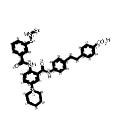 CCNSc1cccc(C(=O)Nc2ccc(N3CCCCC3)cc2C(=O)Nc2ccc(CCc3ccc(C(=O)O)cc3)cc2)c1